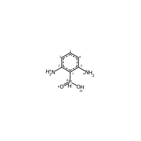 Nc1cccc(N)c1[PH](=O)O